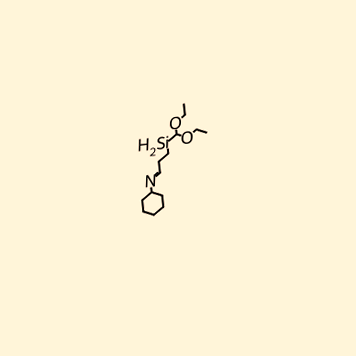 CCOC(OCC)[SiH2]CCC=NC1CCCCC1